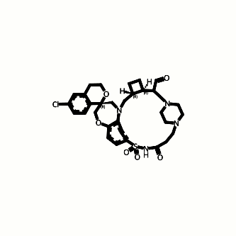 O=CC1[C@@H]2CC[C@H]2CN2C[C@]3(COc4ccc(cc42)S(=O)(=O)NC(=O)CCN2CCN1CC2)OCCc1cc(Cl)ccc13